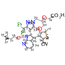 Cc1cc(-c2c(-c3c(C(F)F)nn4c3OCC(OCC(=O)O)C4)n(COCC[Si](C)(C)C)c3ncccc23)c(C#N)s1